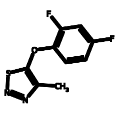 Cc1nnsc1Oc1ccc(F)cc1F